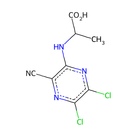 CC(Nc1nc(Cl)c(Cl)nc1C#N)C(=O)O